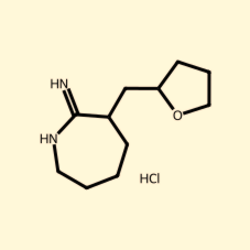 Cl.N=C1NCCCCC1CC1CCCO1